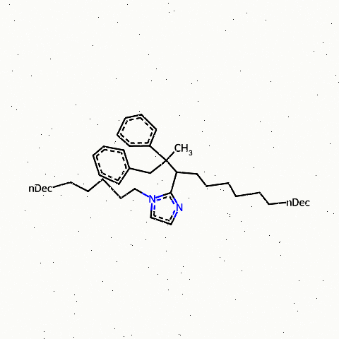 CCCCCCCCCCCCCCCCC(c1nccn1CCCCCCCCCCCCCCC)C(C)(Cc1ccccc1)c1ccccc1